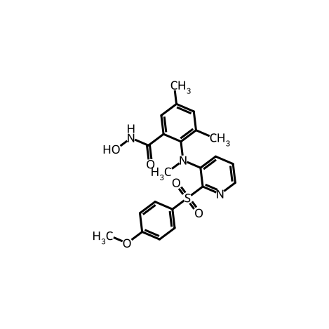 COc1ccc(S(=O)(=O)c2ncccc2N(C)c2c(C)cc(C)cc2C(=O)NO)cc1